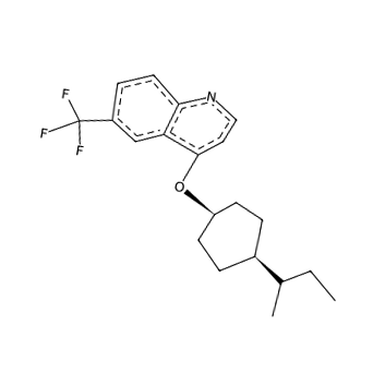 CCC(C)[C@H]1CC[C@@H](Oc2ccnc3ccc(C(F)(F)F)cc23)CC1